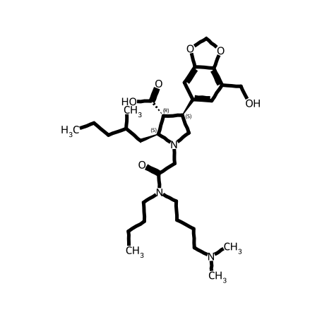 CCCCN(CCCCN(C)C)C(=O)CN1C[C@H](c2cc(CO)c3c(c2)OCO3)[C@@H](C(=O)O)[C@@H]1CC(C)CCC